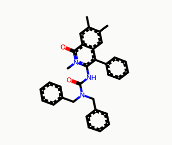 Cc1cc2c(-c3ccccc3)c(NC(=O)N(Cc3ccccc3)Cc3ccccc3)n(C)c(=O)c2cc1C